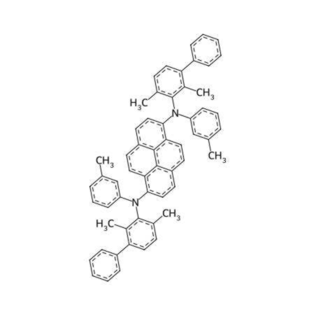 Cc1cccc(N(c2c(C)ccc(-c3ccccc3)c2C)c2ccc3ccc4c(N(c5cccc(C)c5)c5c(C)ccc(-c6ccccc6)c5C)ccc5ccc2c3c54)c1